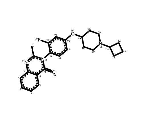 Cc1nc2ccccc2c(=O)n1-c1ccc(OC2CCN(C3CCC3)CC2)cc1F